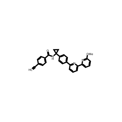 C#Cc1ccc(C(=O)NC2(c3ccc(-c4cccc(-c5cccc(OC)n5)n4)cc3)CC2)cc1